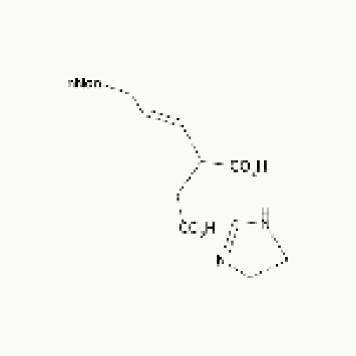 C1=NCCN1.CCCCCCCCCCC=CC(CC(=O)O)C(=O)O